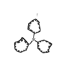 [I-].c1ccc([Se+](c2ccccc2)c2ccccc2)cc1